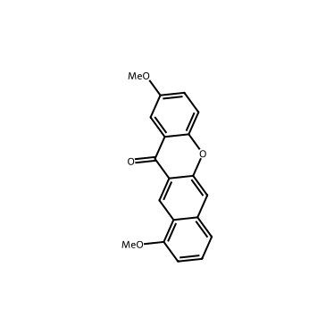 COc1ccc2oc3cc4cccc(OC)c4cc3c(=O)c2c1